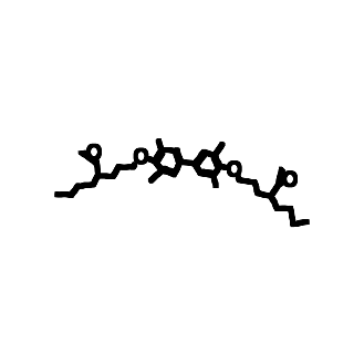 CCCCC(CCCOc1c(C)cc(-c2cc(C)c(OCCCC(CCCC)C3CO3)c(C)c2)cc1C)C1CO1